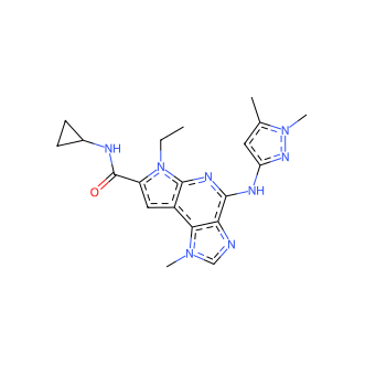 CCn1c(C(=O)NC2CC2)cc2c3c(ncn3C)c(Nc3cc(C)n(C)n3)nc21